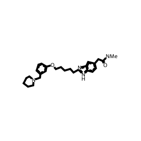 CNC(=O)Cc1ccc2[nH]c(CCCCCOc3cccc(CN4CCCCC4)c3)nc2c1